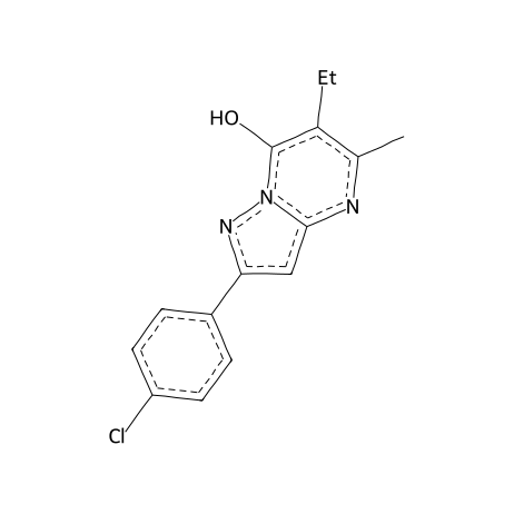 CCc1c(C)nc2cc(-c3ccc(Cl)cc3)nn2c1O